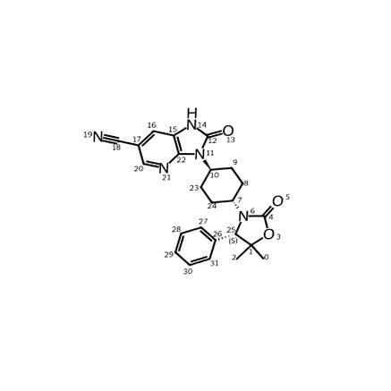 CC1(C)OC(=O)N([C@H]2CC[C@H](n3c(=O)[nH]c4cc(C#N)cnc43)CC2)[C@H]1c1ccccc1